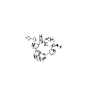 C=CC(=O)Nc1cc(-c2cnc3[nH]cc(-c4ccnc(OC)c4)c3c2)cnc1OC1CCC1